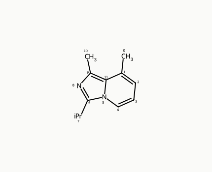 Cc1cccn2c(C(C)C)nc(C)c12